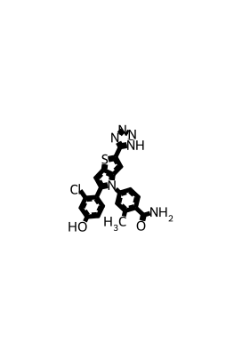 Cc1cc(-n2c(-c3ccc(O)cc3Cl)cc3sc(-c4nnn[nH]4)cc32)ccc1C(N)=O